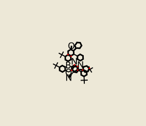 CC(C)(C)c1cc(-c2cc3c4c(c2)N(c2c(-c5cccc6oc7ccccc7c56)cccc2-n2c5ccccc5c5cc(C#N)ccc52)c2ccc(C(C)(C)C)cc2B4c2cc(C(C)(C)C)ccc2O3)cc(C(C)(C)C)c1